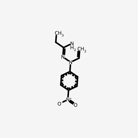 C=CN(/N=C(\N)CC)c1ccc([N+](=O)[O-])cc1